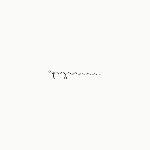 CCCCCCCCCCCC(=O)CCC[NH2+][O-]